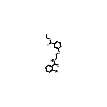 CCOC(=O)c1cccc(OCCNC(=O)c2ccccc2Br)c1